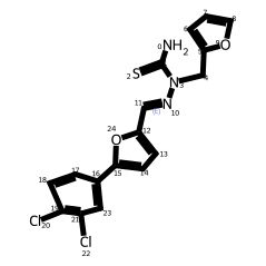 NC(=S)N(Cc1ccco1)/N=C/c1ccc(-c2ccc(Cl)c(Cl)c2)o1